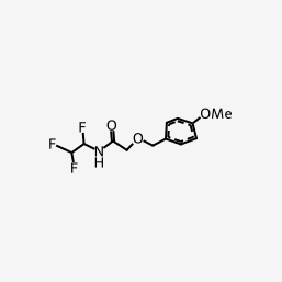 COc1ccc(COCC(=O)NC(F)C(F)F)cc1